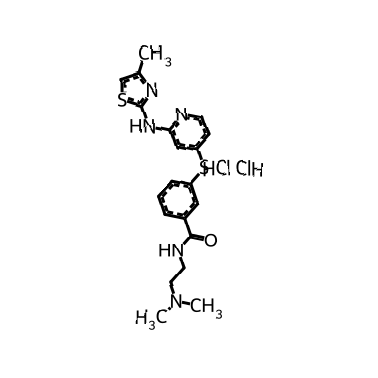 Cc1csc(Nc2cc(Sc3cccc(C(=O)NCCN(C)C)c3)ccn2)n1.Cl.Cl